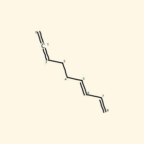 C=C=CCCC=CC=C